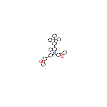 c1ccc(C(c2ccccc2)(c2ccccc2)c2ccc(-c3ccc(N(c4ccc(-c5ccc6oc7ccccc7c6c5)cc4)c4ccc5oc6ccccc6c5c4)c4ccccc34)cc2)cc1